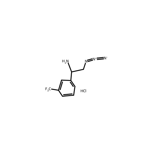 Cl.[N-]=[N+]=NCC(N)c1cccc(C(F)(F)F)c1